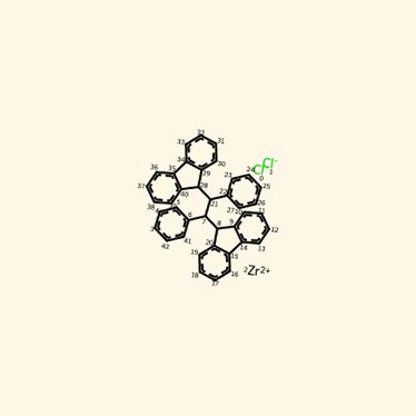 [Cl-].[Cl-].[Zr+2].c1ccc(C(C2c3ccccc3-c3ccccc32)C(c2ccccc2)C2c3ccccc3-c3ccccc32)cc1